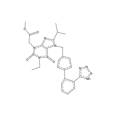 CCn1c(=O)c2c(nc(C(C)C)n2Cc2ccc(-c3ccccc3-c3nnn[nH]3)cc2)n(CC(=O)OC)c1=O